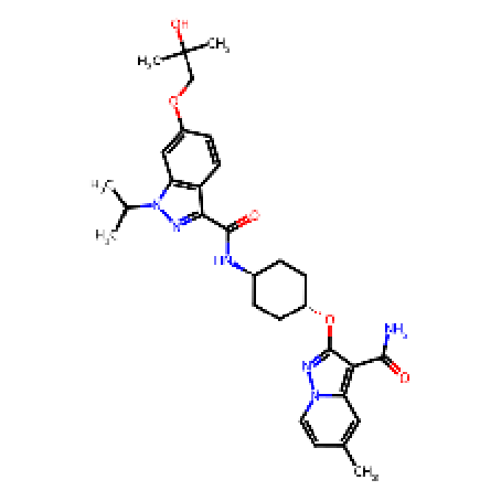 Cc1ccn2nc(O[C@H]3CC[C@H](NC(=O)c4nn(C(C)C)c5cc(OCC(C)(C)O)ccc45)CC3)c(C(N)=O)c2c1